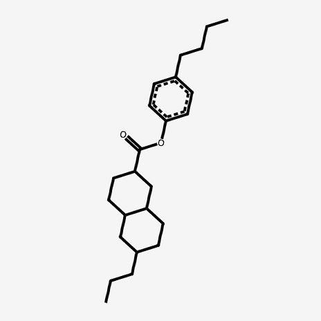 CCCCc1ccc(OC(=O)C2CCC3CC(CCC)CCC3C2)cc1